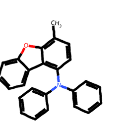 Cc1ccc(N(c2ccccc2)c2ccccc2)c2c1oc1ccccc12